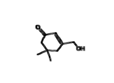 CC1(C)CC(=O)C=C(CO)C1